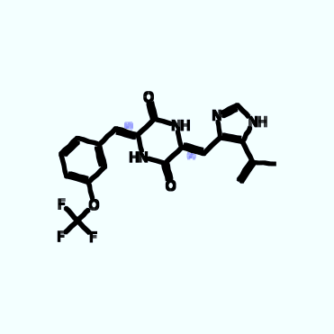 C=C(C)c1[nH]cnc1/C=c1\[nH]c(=O)/c(=C/c2cccc(OC(F)(F)F)c2)[nH]c1=O